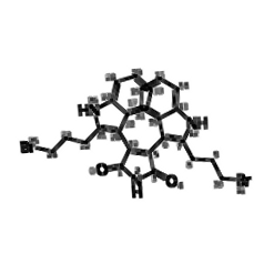 O=C1NC(=O)C(c2c(CCCBr)[nH]c3ccccc23)=C1c1c(CCCBr)[nH]c2ccccc12